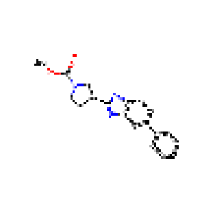 CC(C)(C)OC(=O)N1CCC(c2nc3cc(-c4ccccc4)ccc3[nH]2)C1